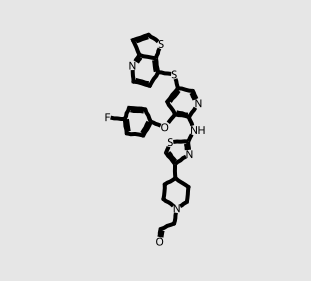 O=CCN1CCC(c2csc(Nc3ncc(Sc4ccnc5ccsc45)cc3Oc3ccc(F)cc3)n2)CC1